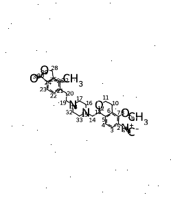 [C-]#[N+]c1ccc2c(c1OC)CCOC2CN1CCN(CCc2ccc3c(c2C)COC3=O)CC1